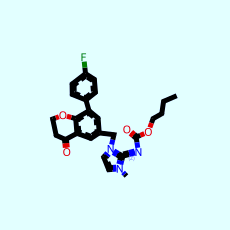 CCCCOC(=O)/N=c1/n(C)ccn1Cc1cc2c(c(-c3ccc(F)cc3)c1)OCCC2=O